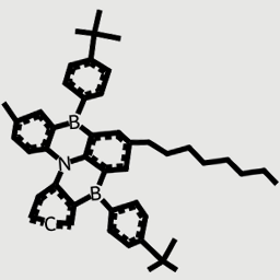 CCCCCCCCc1cc2c3c(c1)B(c1ccc(C(C)(C)C)cc1)c1cc(C)ccc1N3c1ccccc1B2c1ccc(C(C)(C)C)cc1